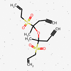 C#CCC(C)(OC(C)(CC#C)S(=O)(=O)CC=C)S(=O)(=O)CC=C